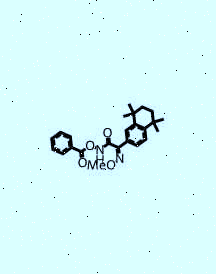 CON=C(C(=O)NOC(=O)c1ccccc1)c1ccc2c(c1)C(C)(C)CCC2(C)C